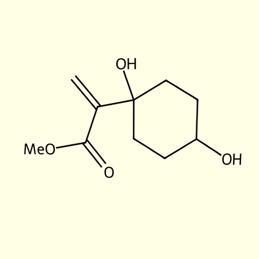 C=C(C(=O)OC)C1(O)CCC(O)CC1